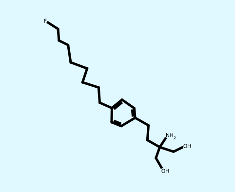 NC(CO)(CO)CCc1ccc(CCCCCCCCF)cc1